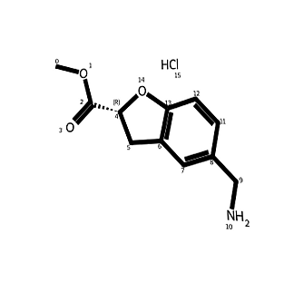 COC(=O)[C@H]1Cc2cc(CN)ccc2O1.Cl